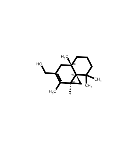 CC1=C(CO)C[C@]2(C)CCCC(C)(C)[C@@]23C[C@@H]13